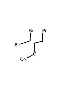 BrCBr.CC(C)CCON=O